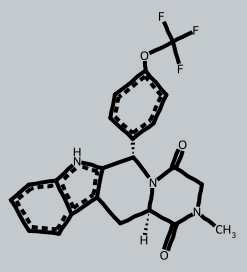 CN1CC(=O)N2[C@@H](c3ccc(OC(F)(F)F)cc3)c3[nH]c4ccccc4c3C[C@@H]2C1=O